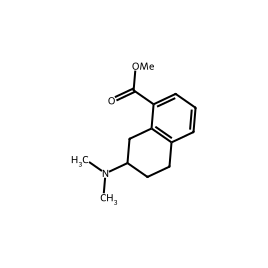 COC(=O)c1cccc2c1CC(N(C)C)CC2